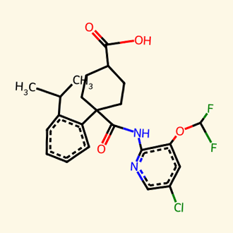 CC(C)c1ccccc1C1(C(=O)Nc2ncc(Cl)cc2OC(F)F)CCC(C(=O)O)CC1